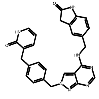 O=C1Cc2cc(CNc3ncnc4nn(Cc5ccc(Cc6ccc[nH]c6=O)cc5)cc34)ccc2N1